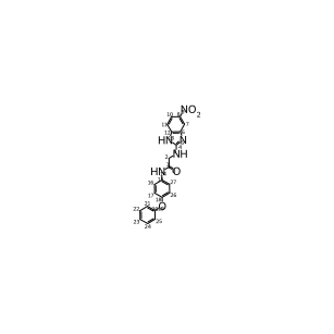 O=C(CNc1nc2cc([N+](=O)[O-])ccc2[nH]1)Nc1ccc(Oc2ccccc2)cc1